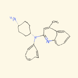 Cc1cc(N(c2ccccc2)[C@H]2CC[C@@H](N)CC2)nc2ccccc12